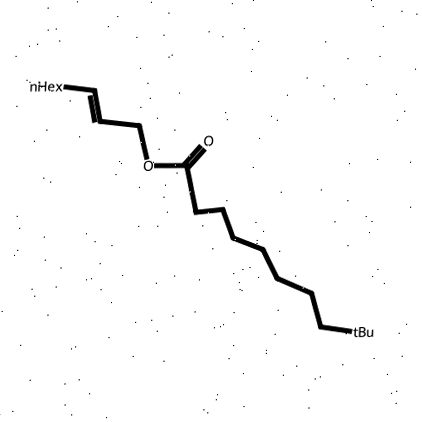 CCCCCC/C=C/COC(=O)CCCCCCCC(C)(C)C